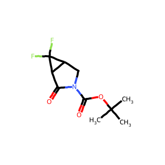 CC(C)(C)OC(=O)N1CC2C(C1=O)C2(F)F